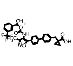 Cc1noc(-c2ccc(-c3ccc(CC4(C(=O)O)CC4)cc3)cc2)c1NC(=O)OC(C)c1cccc(C(F)(F)F)c1